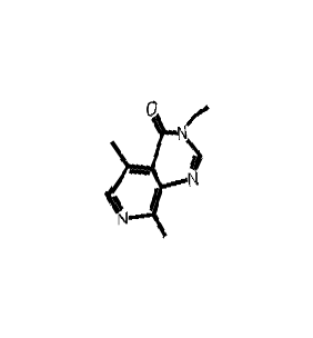 Cc1ncc(C)c2c(=O)n(C)cnc12